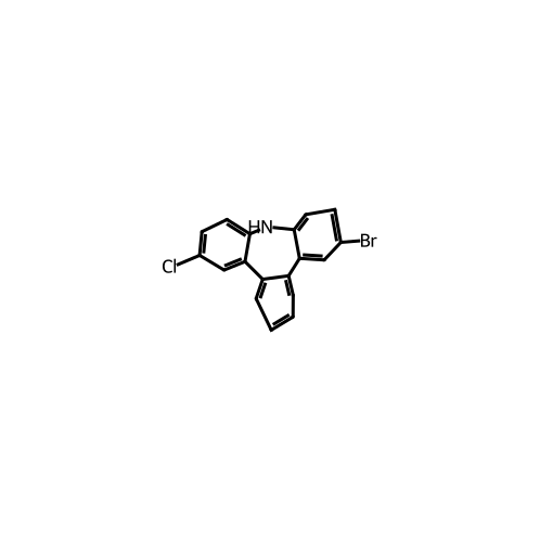 Clc1ccc2c(c1)-c1ccccc1-c1cc(Br)ccc1N2